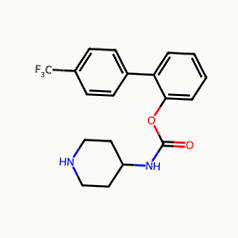 O=C(NC1CCNCC1)Oc1ccccc1-c1ccc(C(F)(F)F)cc1